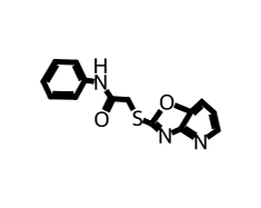 O=C(CSc1nc2ncccc2o1)Nc1ccccc1